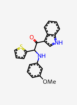 COc1cccc(NC(C(=O)c2c[nH]c3ccccc23)c2cccs2)c1